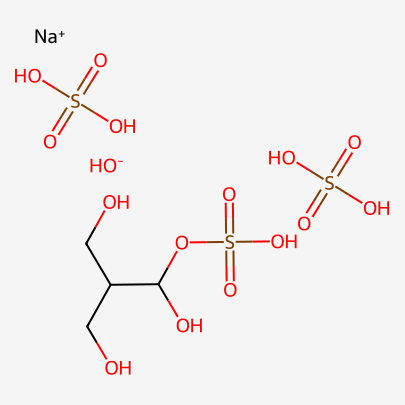 O=S(=O)(O)O.O=S(=O)(O)O.O=S(=O)(O)OC(O)C(CO)CO.[Na+].[OH-]